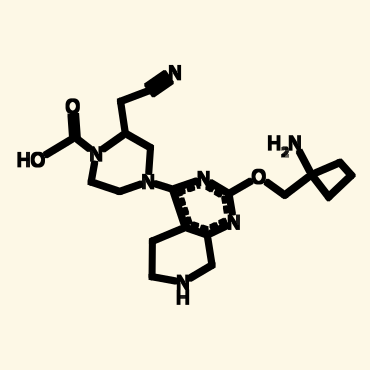 N#CCC1CN(c2nc(OCC3(N)CCC3)nc3c2CCNC3)CCN1C(=O)O